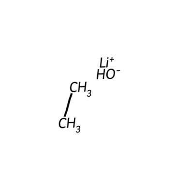 CC.[Li+].[OH-]